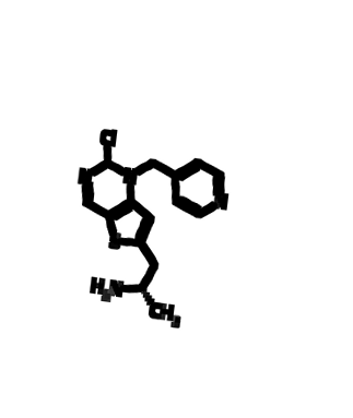 C[C@H](N)Cc1cc2c(s1)C=NC(Cl)N2Cc1ccncc1